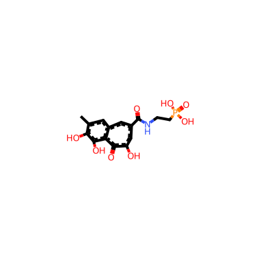 Cc1cc2cc(C(=O)NCCP(=O)(O)O)cc(O)c(=O)c2c(O)c1O